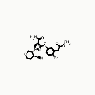 COC(=O)Cc1cc(Nc2nn([C@H]3COCC[C@@H]3C#N)cc2C(N)=O)ccc1Br